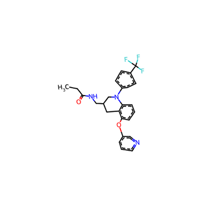 CCC(=O)NCC1Cc2c(Oc3cccnc3)cccc2N(c2ccc(C(F)(F)F)cc2)C1